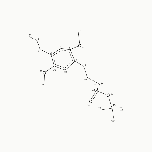 CCCc1cc(OC)c(CCNC(=O)OC(C)(C)C)cc1OC